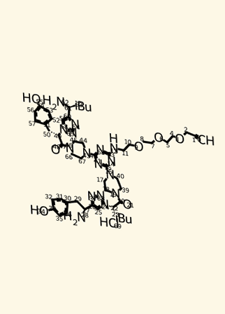 C#CCOCCOCCOCCNc1nc(N2CCN(C(=O)[C@H]([C@@H](C)CC)n3cc([C@@H](N)Cc4ccc(O)cc4)nn3)CC2)nc(N2CCN(C(=O)[C@H](Cc3ccc(O)cc3)n3cc([C@@H](N)C(C)CC)nn3)CC2)n1.Cl